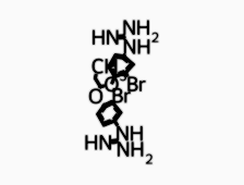 CCC(Oc1ccc(NC(=N)N)cc1Br)Oc1ccc(NC(=N)N)cc1Br